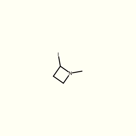 CN1CCC1I